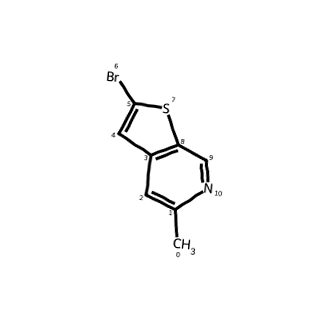 Cc1cc2cc(Br)sc2cn1